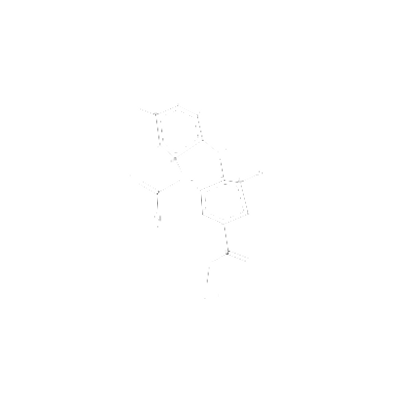 COC(=O)c1ccc(Sc2ccc(F)cc2OC(N)=O)c(N)c1